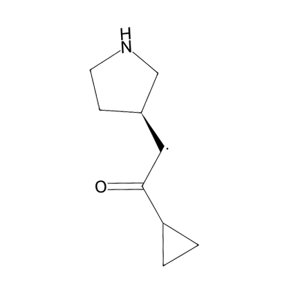 O=C([CH][C@H]1CCNC1)C1CC1